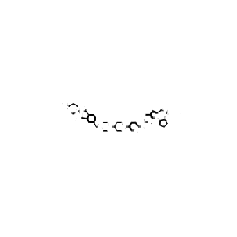 CN(C)C(=O)c1cc2cnc(Nc3ccc(N4CCC(N5CCN(Cc6ccc7c(c6)C(=O)N(N6CCC(=O)NC6=O)C7=O)CC5)CC4)cn3)nc2n1C1CCCC1